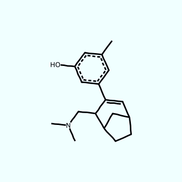 Cc1cc(O)cc(C2=CC3CCC(C3)C2CN(C)C)c1